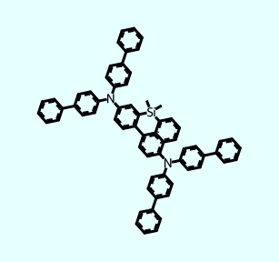 C[Si]1(C)c2cc(N(c3ccc(-c4ccccc4)cc3)c3ccc(-c4ccccc4)cc3)ccc2-c2ccc(N(c3ccc(-c4ccccc4)cc3)c3ccc(-c4ccccc4)cc3)c3cccc1c23